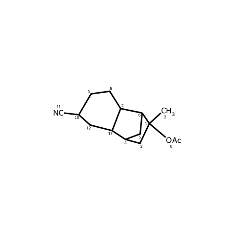 CC(=O)OC1(C)CC2CC1C1CCC(C#N)CC21